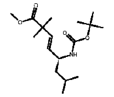 COC(=O)C(C)(C)/C=C/[C@H](CC(C)C)NC(=O)OC(C)(C)C